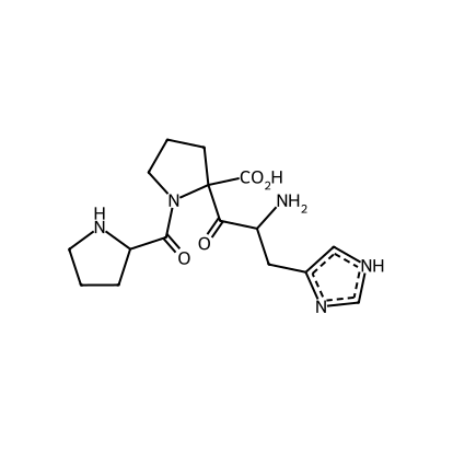 NC(Cc1c[nH]cn1)C(=O)C1(C(=O)O)CCCN1C(=O)C1CCCN1